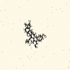 C=C/C=C(\C(N)c1ncnc(Oc2ccc3c(cc(C)n3C)c2F)c1C#N)N1CCN(CC)CC1